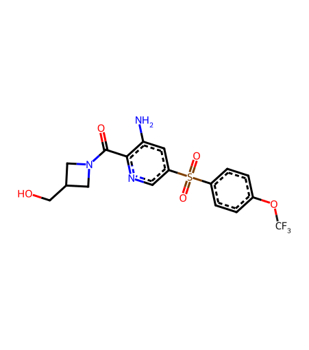 Nc1cc(S(=O)(=O)c2ccc(OC(F)(F)F)cc2)cnc1C(=O)N1CC(CO)C1